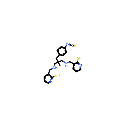 CC(CNCc1cccnc1S)(CNCc1cccnc1S)Cc1ccc(N=C=S)cc1